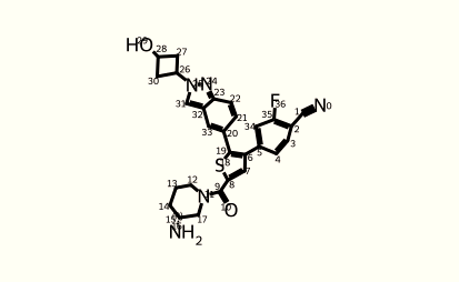 N#Cc1ccc(-c2cc(C(=O)N3CCC[C@@H](N)C3)sc2-c2ccc3nn(C4CC(O)C4)cc3c2)cc1F